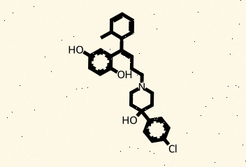 CC1C=CC=CC1C(=CCCN1CCC(O)(c2ccc(Cl)cc2)CC1)c1cc(O)ccc1O